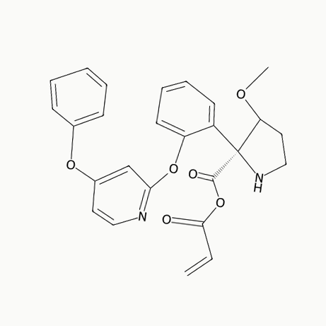 C=CC(=O)OC(=O)[C@@]1(c2ccccc2Oc2cc(Oc3ccccc3)ccn2)NCCC1OC